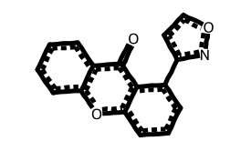 O=c1c2ccccc2oc2cccc(-c3ccon3)c12